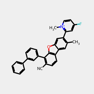 Cc1cc2c(cc1-c1cc(F)cc[n+]1C)oc1c(-c3cccc(-c4ccccc4)c3)c(C#N)ccc12